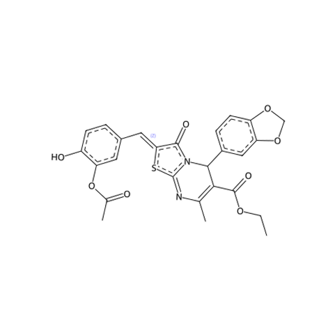 CCOC(=O)C1=C(C)N=c2s/c(=C\c3ccc(O)c(OC(C)=O)c3)c(=O)n2C1c1ccc2c(c1)OCO2